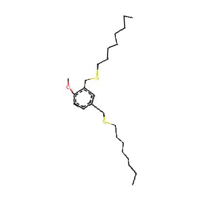 CCCCCCCCSCc1ccc(OC)c(CSCCCCCCCC)c1